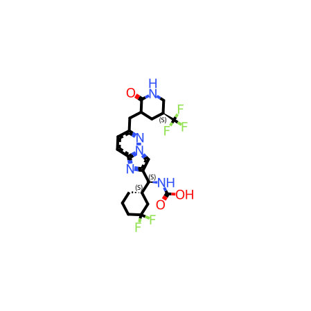 O=C(O)N[C@H](c1cn2nc(CC3C[C@H](C(F)(F)F)CNC3=O)ccc2n1)[C@H]1CCCC(F)(F)C1